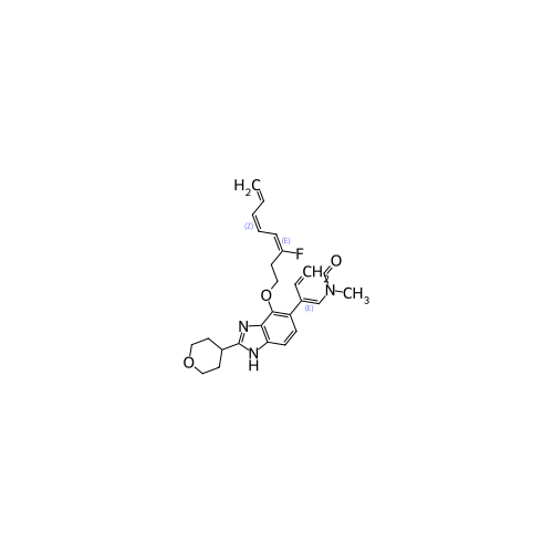 C=C/C=C\C=C(\F)CCOc1c(/C(C=C)=C/N(C)C=O)ccc2[nH]c(C3CCOCC3)nc12